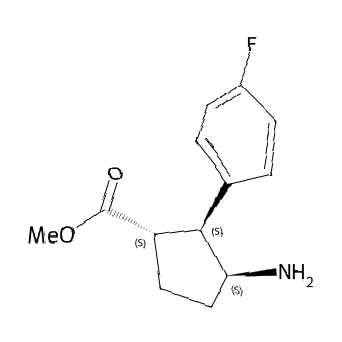 COC(=O)[C@H]1CC[C@H](N)[C@@H]1c1ccc(F)cc1